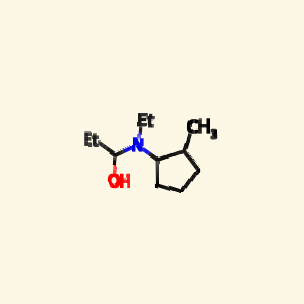 CCC(O)N(CC)C1CCCC1C